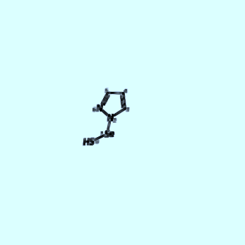 S[Se]n1cccn1